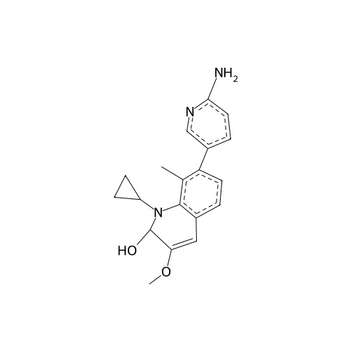 COC1=Cc2ccc(-c3ccc(N)nc3)c(C)c2N(C2CC2)C1O